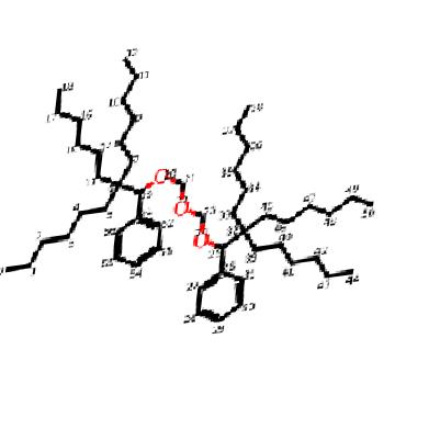 CCCCCCC(CCCCCC)(CCCCCC)C(OCOCOC(c1ccccc1)C(CCCCCC)(CCCCCC)CCCCCC)c1ccccc1